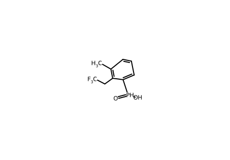 Cc1cccc([PH](=O)O)c1CC(F)(F)F